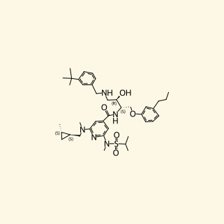 CCCc1cccc(OC[C@H](NC(=O)c2cc(N(C)C[C@H]3C[C@@H]3C)nc(N(C)S(=O)(=O)C(C)C)c2)[C@H](O)CNCc2cccc(C(C)(C)C)c2)c1